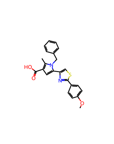 COc1ccc(-c2nc(-c3cc(C(=O)O)c(C)n3Cc3ccccc3)cs2)cc1